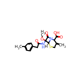 C=C1CS[C@@H]2N(C(=O)C2(NC(=O)Cc2ccc(C)cc2)OC)C1C(=O)O